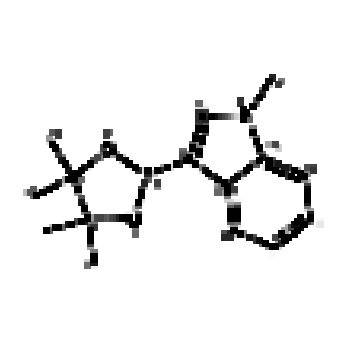 Cn1nc(B2OC(C)(C)C(C)(C)O2)c2ccccc21